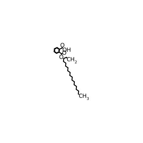 C=CC(CCCCCCCCCCCCCCCC)OC(=O)c1ccccc1C(=O)O